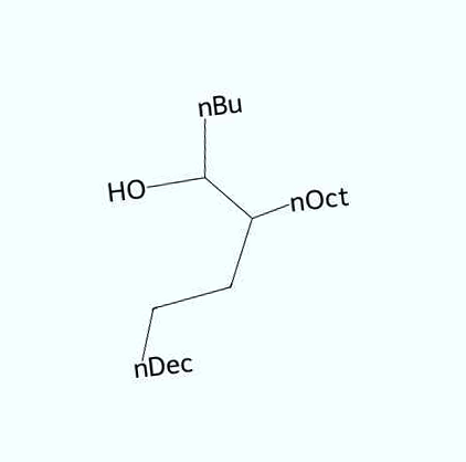 CCCCCCCCCCCCC(CCCCCCCC)C(O)CCCC